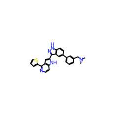 CN(C)Cc1cccc(-c2ccc3[nH]nc(-c4cc5c(-c6cccs6)nccc5[nH]4)c3c2)c1